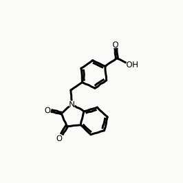 O=C(O)c1ccc(CN2C(=O)C(=O)c3ccccc32)cc1